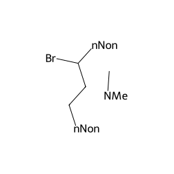 CCCCCCCCCCCC(Br)CCCCCCCCC.CNC